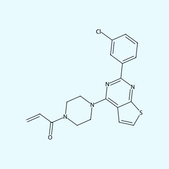 C=CC(=O)N1CCN(c2nc(-c3cccc(Cl)c3)nc3sccc23)CC1